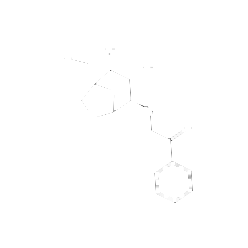 O=C(CN[C@H]1C2OC[C@](CO)(O2)[C@H](O)[C@@H]1O)c1ccccc1